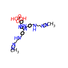 CN1CCN(CCCCNCc2ccc(-c3nc(-c4ccc(CNCCCCN5CCN(C)CC5)cc4)c4cnn(-c5ccccc5)c4n3)cc2)CC1.O=C(O)C(=O)O